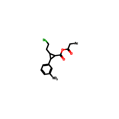 CC(=O)CC(=O)OC(=O)C1C(CCBr)C1c1cccc([N+](=O)[O-])c1